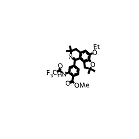 CCOc1cc2c(c3c1OC(C)(C)C3)C(c1ccc(C(=O)OC)c(NC(=O)C(F)(F)F)c1)=NC(C)(C)C2